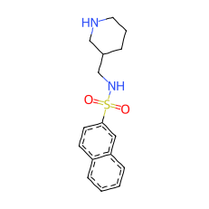 O=S(=O)(NCC1CCCNC1)c1ccc2ccccc2c1